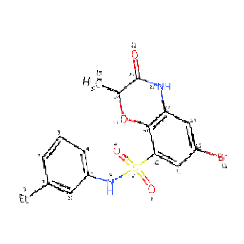 CCc1cccc(NS(=O)(=O)c2cc(Br)cc3c2OC(C)C(=O)N3)c1